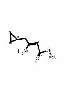 CCOC(=O)/C=C(\N)CC1CC1